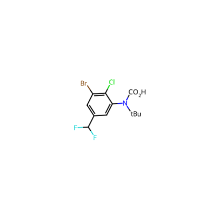 CC(C)(C)N(C(=O)O)c1cc(C(F)F)cc(Br)c1Cl